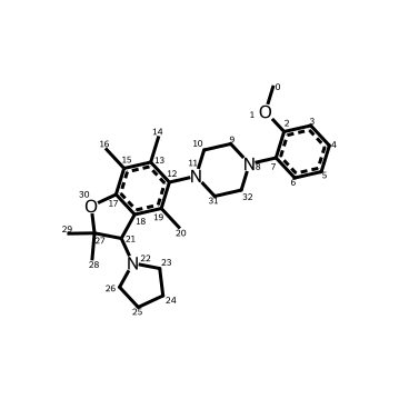 COc1ccccc1N1CCN(c2c(C)c(C)c3c(c2C)C(N2CCCC2)C(C)(C)O3)CC1